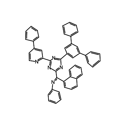 c1ccc(/N=C(/c2nc(-c3cc(-c4ccccc4)cc(-c4ccccc4)c3)nc(-c3cc(-c4ccccc4)ccn3)n2)c2cccc3ccccc23)cc1